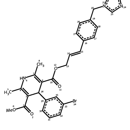 COC(=O)C1=C(C)NC(C)=C(C(=O)OC/C=C/c2ccc(Cn3ccnc3)cc2)C1c1cccc(Br)c1